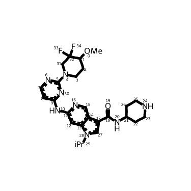 COC1CCN(c2nccc(Nc3cc4c(cn3)c(C(=O)NC3CCNCC3)cn4C(C)C)n2)CC1(F)F